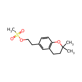 CC1(C)CCc2cc(CCOS(C)(=O)=O)ccc2O1